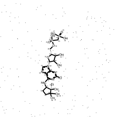 CC[C@@]1(C)C(Nc2nc(Cl)nc3c2ncn3[C@@H]2O[C@H](COP(=O)(O)CP(=O)(O)O)C(O)C2O)CCC1(C)C